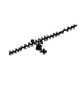 CC/C=C/C/C=C/C/C=C/C/C=C/C/C=C/CCCCCCC(=O)O[C@H](COC(=O)CCCCCCCCCCCCCCC)COP(=O)([O-])OCC[N+](C)(C)C